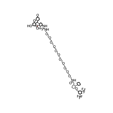 O=C(CC1CCC[C@H](OCc2cc(C(F)(F)F)cc(C(F)(F)F)c2)C1c1ccccc1)NCCOCCOCCOCCOCCOCCOCCOCCOCCOCCOCCOCCNC(=S)Nc1ccc(-c2c3ccc(=O)cc-3oc3cc(O)ccc23)c(C(=O)O)c1